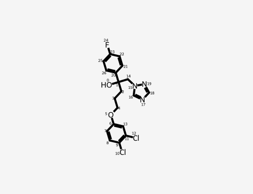 OC(CCCOc1ccc(Cl)c(Cl)c1)(Cn1cncn1)c1ccc(F)cc1